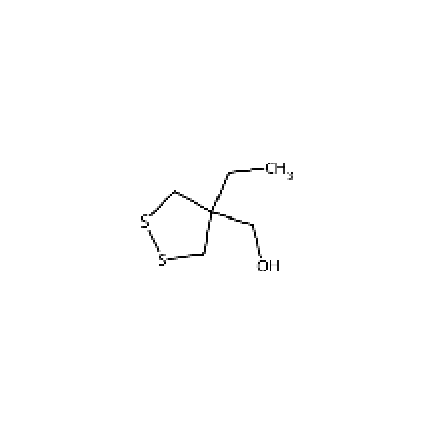 CCC1(CO)CSSC1